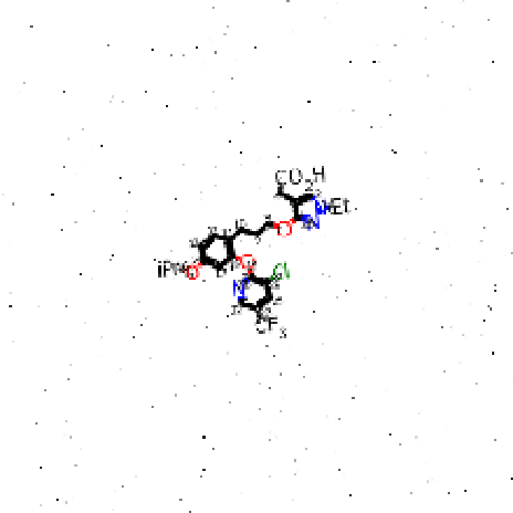 CCn1cc(CC(=O)O)c(OCCCc2ccc(OC(C)C)cc2Oc2ncc(C(F)(F)F)cc2Cl)n1